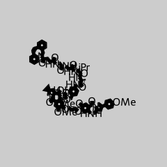 COc1ccc(C2=CN3C(=O)c4cc(OC)c(OCCCOc5cc6c(cc5OC)C(=O)N5CC7(CC7)C[C@H]5C(O)N6C(=O)OCc5ccc(NC(=O)[C@H](C)NC(=O)[C@@H](NC(=O)CNC(=O)CNC(=O)CCC(=O)N6Cc7ccccc7C#Cc7ccccc76)C(C)C)cc5)cc4NC[C@@H]3C2)cc1